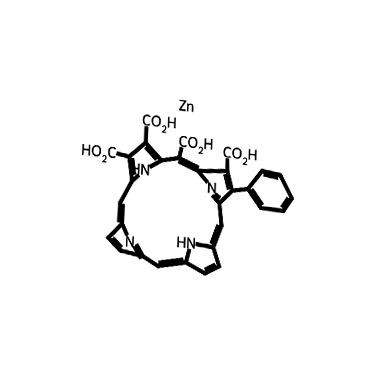 O=C(O)C1=C(c2ccccc2)c2cc3ccc(cc4nc(cc5[nH]c(c(C(=O)O)c1n2)c(C(=O)O)c5C(=O)O)C=C4)[nH]3.[Zn]